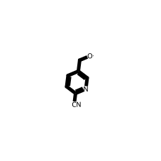 N#Cc1ccc(C[O])cn1